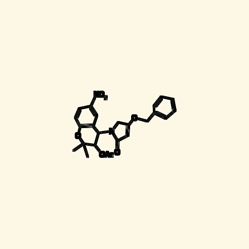 CC(=O)OC1C(N2CC(OCc3ccccc3)=CC2=O)c2cc([N+](=O)[O-])ccc2OC1(C)C